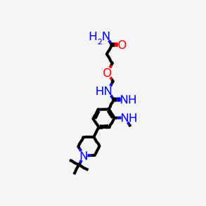 CNc1cc(C2CCN(C(C)(C)C)CC2)ccc1C(=N)NCOCCC(N)=O